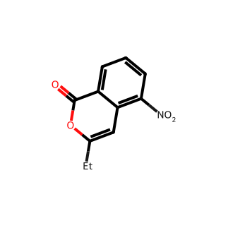 CCc1cc2c([N+](=O)[O-])cccc2c(=O)o1